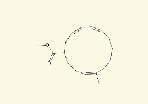 COC(=O)C1CC=CC=CCCCCC(C)=CCC1